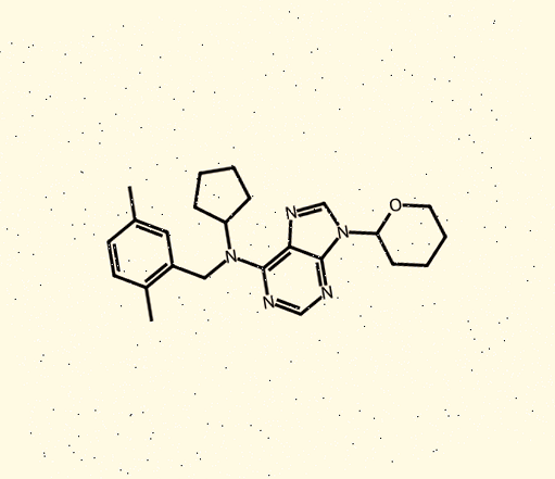 Cc1ccc(C)c(CN(c2ncnc3c2ncn3C2CCCCO2)C2CCCC2)c1